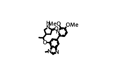 COc1ccc(-c2cc(OC(C)C3CNC(=O)C3)c3c(c2)ncn3C)nc1OC